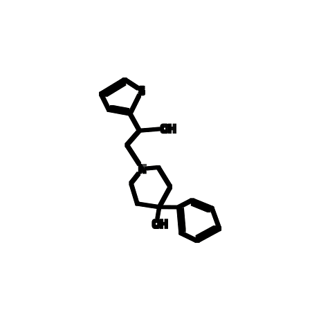 OC(CN1CCC(O)(c2ccccc2)CC1)c1cccs1